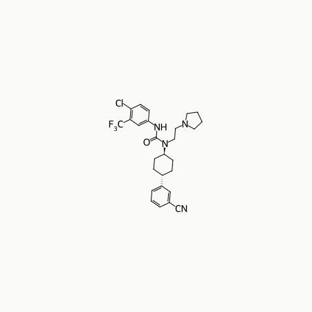 N#Cc1cccc([C@H]2CC[C@H](N(CCN3CCCC3)C(=O)Nc3ccc(Cl)c(C(F)(F)F)c3)CC2)c1